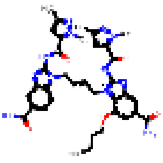 CCn1nc(C)cc1C(=O)Nc1nc2cc(C(N)=O)ccc2n1C/C=C/Cn1c(NC(=O)c2cc(C)nn2CC)nc2cc(C(N)=O)cc(OCCCC=O)c21